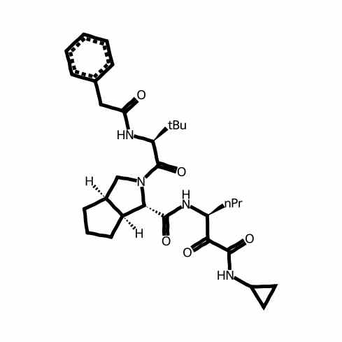 CCC[C@H](NC(=O)[C@@H]1[C@H]2CCC[C@H]2CN1C(=O)[C@@H](NC(=O)Cc1ccccc1)C(C)(C)C)C(=O)C(=O)NC1CC1